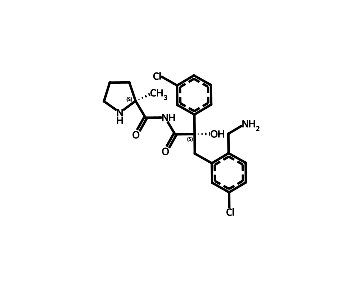 C[C@@]1(C(=O)NC(=O)[C@](O)(Cc2cc(Cl)ccc2CN)c2cccc(Cl)c2)CCCN1